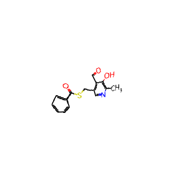 Cc1ncc(CSC(=O)c2ccccc2)c(C=O)c1O